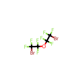 FC(F)(Br)C(F)(F)OC(F)(F)C(F)(F)Br